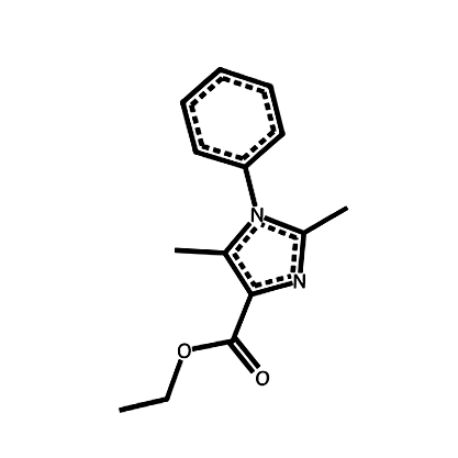 CCOC(=O)c1nc(C)n(-c2ccccc2)c1C